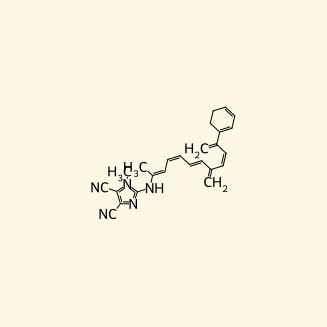 C=C(/C=C\C(=C)C1=CC=CCC1)/C=C/C=C\C=C(/C)Nc1nc(C#N)c(C#N)n1C